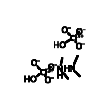 CNC.CNC.[O-][Cl+3]([O-])([O-])O.[O-][Cl+3]([O-])([O-])O